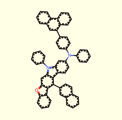 c1ccc(N(c2ccc(-c3cc4ccccc4c4ccccc34)cc2)c2ccc3c4c(-c5ccc6ccccc6c5)c5c(cc4n(-c4ccccc4)c3c2)oc2ccccc25)cc1